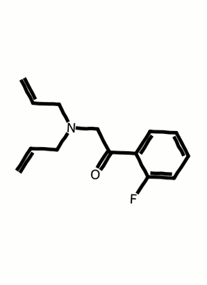 C=CCN(CC=C)CC(=O)c1ccccc1F